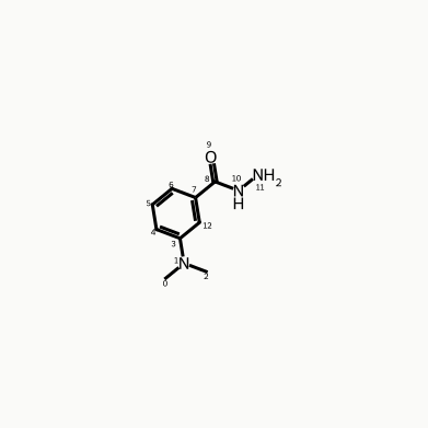 CN(C)c1cccc(C(=O)NN)c1